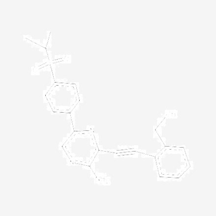 CC(C)S(=O)(=O)c1ccc(-c2cnc(N)c(C#Cc3ccccc3CO)n2)cc1